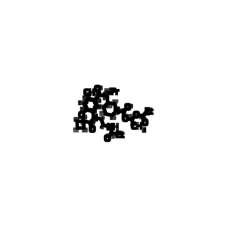 CCC(=O)NCCN1C(=O)C2(CCC2)Oc2cc(C)c(C(=O)N(C(C)C)[C@@H]3CCCN(C(=O)OC(C)OC(=O)CC)C3)cc21